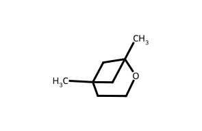 CC12CCOC(C)(C1)C2